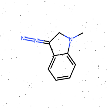 CN1CC(=[N+]=[N-])c2ccccc21